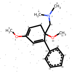 COC1=CCC(CN(C)C)(OC)C(c2ccccc2)=C1